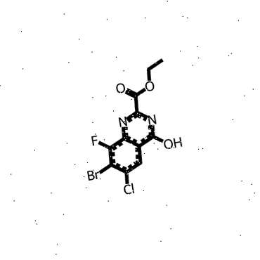 CCOC(=O)c1nc(O)c2cc(Cl)c(Br)c(F)c2n1